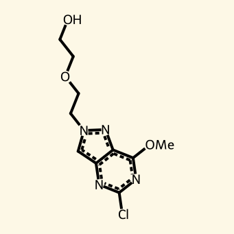 COc1nc(Cl)nc2cn(CCOCCO)nc12